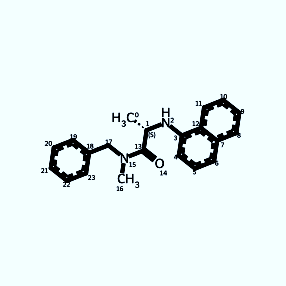 C[C@H](Nc1cccc2ccccc12)C(=O)N(C)Cc1ccccc1